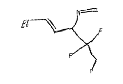 C=NC(C=CCC)C(F)(F)CF